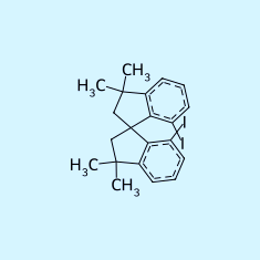 CC1(C)CC2(CC(C)(C)c3cccc(I)c32)c2c(I)cccc21